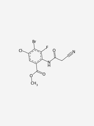 COC(=O)c1cc(Cl)c(Br)c(F)c1NC(=O)CC#N